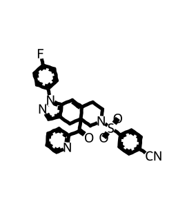 N#Cc1ccc(S(=O)(=O)N2CCC3=Cc4c(cnn4-c4ccc(F)cc4)CC3(C(=O)c3ccccn3)C2)cc1